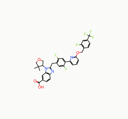 CC1(C)COCC1n1c(Cc2cc(F)c(-c3cccc(OCc4ccc(C(F)(F)F)cc4F)n3)cc2F)nc2ccc(C(=O)O)cc21